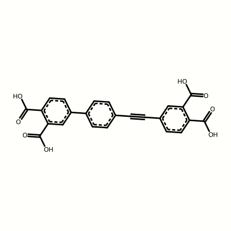 O=C(O)c1ccc(C#Cc2ccc(-c3ccc(C(=O)O)c(C(=O)O)c3)cc2)cc1C(=O)O